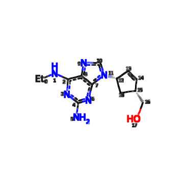 CCNc1nc(N)nc2c1ncn2[C@@H]1C=C[C@H](CO)C1